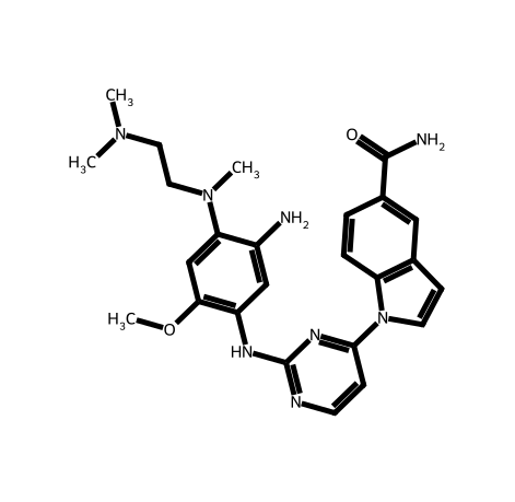 COc1cc(N(C)CCN(C)C)c(N)cc1Nc1nccc(-n2ccc3cc(C(N)=O)ccc32)n1